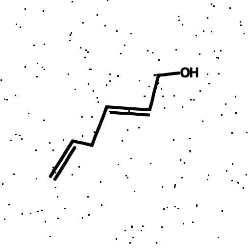 C=CCC=C[CH]O